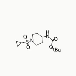 CC(C)(C)OC(=O)NC1CCN(S(=O)(=O)C2CC2)CC1